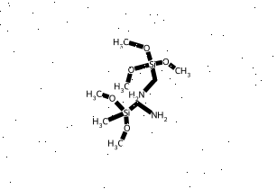 CO[Si](C)(CN)OC.CO[Si](CN)(OC)OC